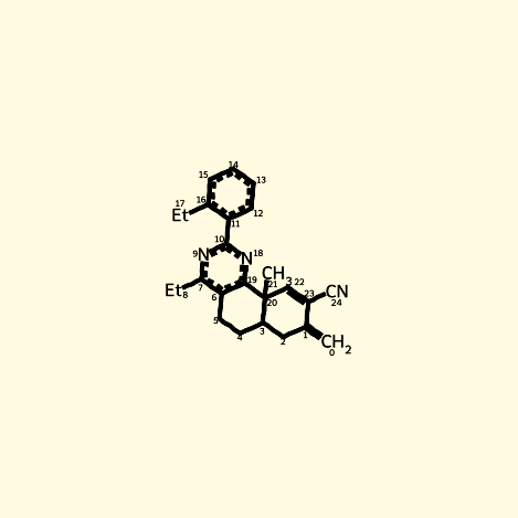 C=C1CC2CCc3c(CC)nc(-c4ccccc4CC)nc3C2(C)C=C1C#N